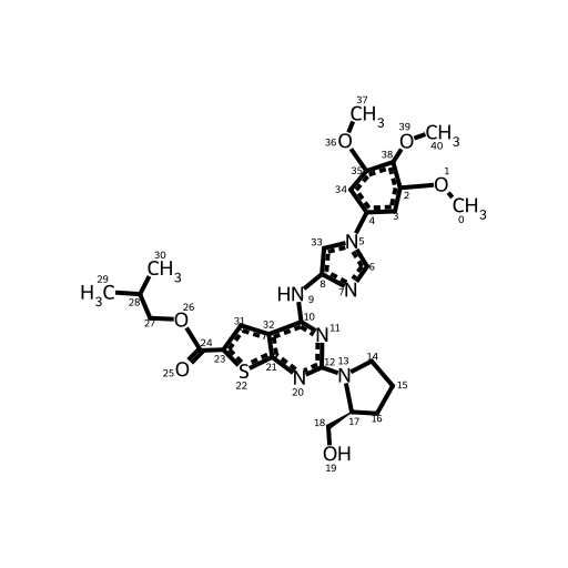 COc1cc(-n2cnc(Nc3nc(N4CCC[C@H]4CO)nc4sc(C(=O)OCC(C)C)cc34)c2)cc(OC)c1OC